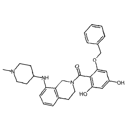 CN1CCC(Nc2cccc3c2CN(C(=O)c2c(O)cc(O)cc2OCc2ccccc2)CC3)CC1